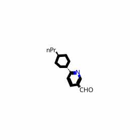 CCC[C@H]1CC[C@H](c2ccc(C=O)cn2)CC1